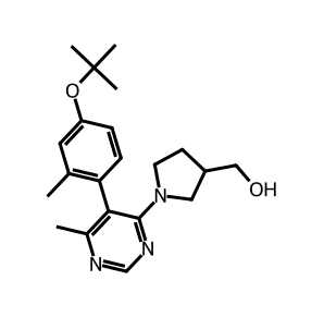 Cc1cc(OC(C)(C)C)ccc1-c1c(C)ncnc1N1CCC(CO)C1